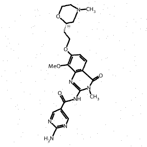 COc1c(OCC[C@H]2CN(C)CCO2)ccc2c(=O)n(C)c(NC(=O)c3cnc(N)nc3)nc12